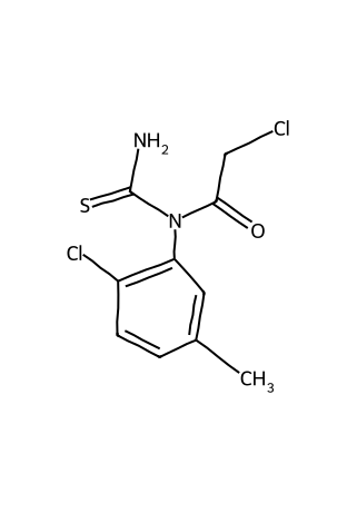 Cc1ccc(Cl)c(N(C(=O)CCl)C(N)=S)c1